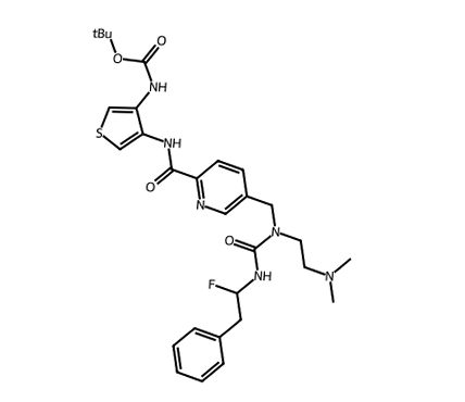 CN(C)CCN(Cc1ccc(C(=O)Nc2cscc2NC(=O)OC(C)(C)C)nc1)C(=O)NC(F)Cc1ccccc1